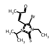 CCn1c(Br)c(C=C(C)C=O)n(C(C)C)c1=S